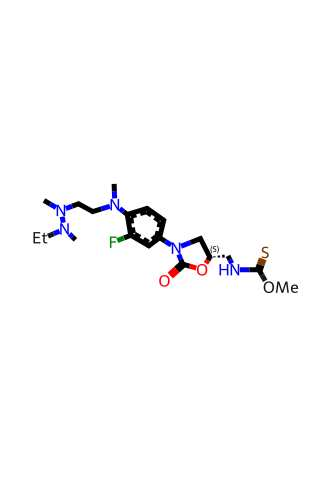 CCN(C)N(C)CCN(C)c1ccc(N2C[C@H](CNC(=S)OC)OC2=O)cc1F